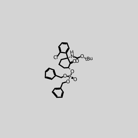 CC(C)(C)OC(=O)N[C@@]1(c2ccccc2Cl)CCC[C@@H](OP(=O)(OCc2ccccc2)OCc2ccccc2)C1=O